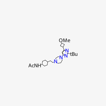 COC1CC(c2cc(N3CCCN(CCC4CCC(NC(C)=O)CC4)CC3)nc(C(C)(C)C)n2)C1